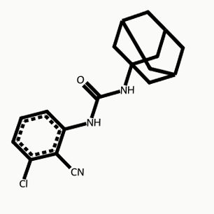 N#Cc1c(Cl)cccc1NC(=O)NC12CC3CC(CC(C3)C1)C2